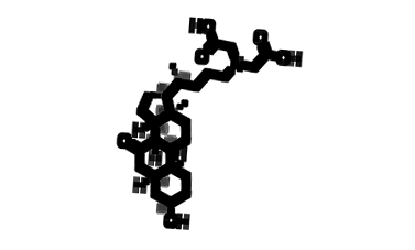 C[C@H](CCCN(CC(=O)O)CC(=O)O)[C@H]1CC[C@H]2[C@@H]3C(=O)C[C@@H]4C[C@H](O)CC[C@]4(C)[C@H]3CC[C@]12C